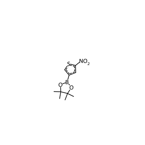 CC1(C)OB(c2csc([N+](=O)[O-])c2)OC1(C)C